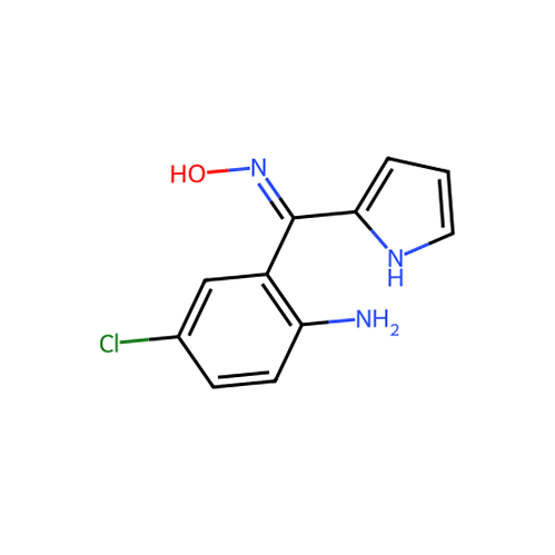 Nc1ccc(Cl)cc1/C(=N\O)c1ccc[nH]1